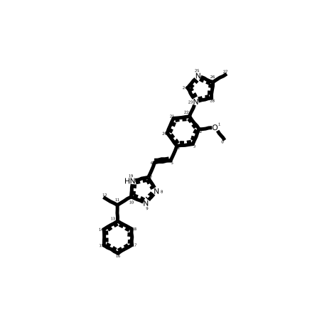 COc1cc(/C=C/c2nnc(C(C)c3ccccc3)[nH]2)ccc1-n1cnc(C)c1